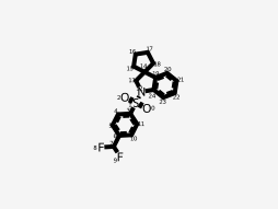 O=S(=O)(c1ccc(C(F)F)cc1)N1CC2(CCCC2)c2ccccc21